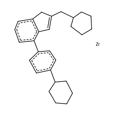 [CH]1C(CC2CCCCC2)=Cc2c1cccc2-c1ccc(C2CCCCC2)cc1.[Zr]